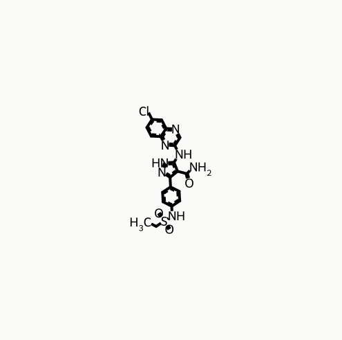 CCS(=O)(=O)Nc1ccc(-c2n[nH]c(Nc3cnc4cc(Cl)ccc4n3)c2C(N)=O)cc1